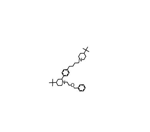 CC(C)(C)C1CCN(CCCCc2ccc(C3CC(C(C)(C)C)CCN3CCOCc3ccccc3)cc2)CC1